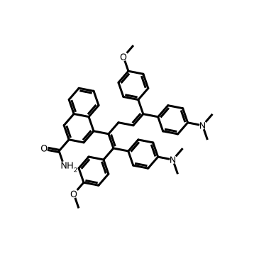 COc1ccc(C(=CCC(=C(c2ccc(OC)cc2)c2ccc(N(C)C)cc2)c2cc(C(N)=O)cc3ccccc23)c2ccc(N(C)C)cc2)cc1